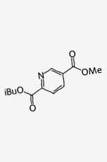 COC(=O)c1ccc(C(=O)OCC(C)C)nc1